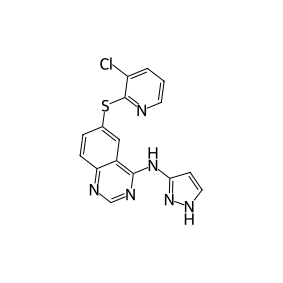 Clc1cccnc1Sc1ccc2ncnc(Nc3cc[nH]n3)c2c1